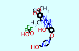 COc1cc2nc(Nc3nc(O)c4cc(OCCN5CCN(CCO)CC5)ccc4n3)nc(C)c2cc1OC.O=C(O)C(F)(F)F